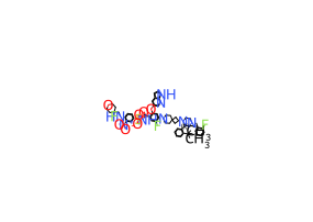 CC(C)c1ccccc1[C@@H]1CN(Cc2ccccc2F)CCN1C1CC2(CCN(c3cc(Oc4cnc5[nH]ccc5c4)c(C(=O)NS(=O)(=O)c4ccc(NCC5(F)CCOCC5)c([N+](=O)[O-])c4)cc3F)CC2)C1